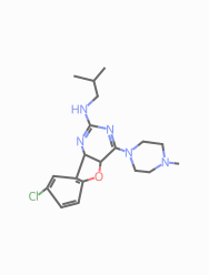 CC(C)CNC1=NC2c3cc(Cl)ccc3OC2C(N2CCN(C)CC2)=N1